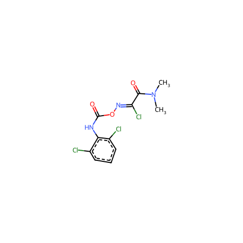 CN(C)C(=O)C(Cl)=NOC(=O)Nc1c(Cl)cccc1Cl